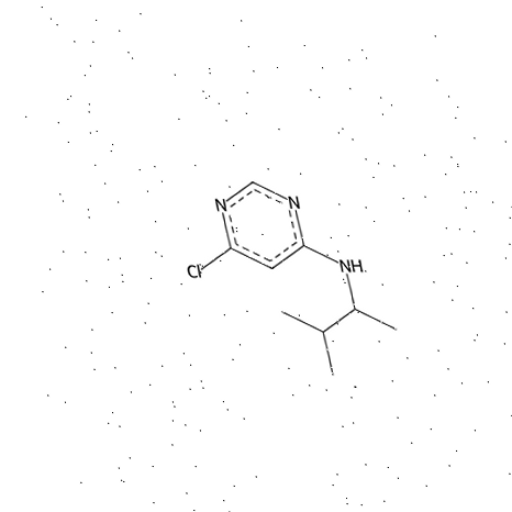 CC(C)C(C)Nc1cc(Cl)ncn1